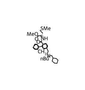 CCCCN(CCc1ccc(C(=O)N[C@@H](CCSC)C(=O)OC)c(-c2ccccc2C)c1)CC1CCCCC1